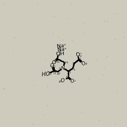 O=C([O-])CCC(C(=O)[O-])N(CC(=O)O)CC(=O)O.[Na+].[Na+]